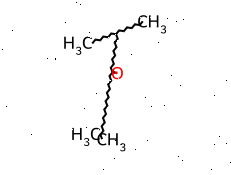 CCCCCCCC(CCCCCCC)CCCCCCCCC(=O)CCCCCCCCCCCCCCC(C)C